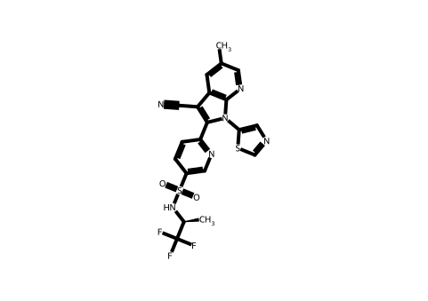 Cc1cnc2c(c1)c(C#N)c(-c1ccc(S(=O)(=O)N[C@@H](C)C(F)(F)F)cn1)n2-c1cncs1